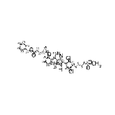 COC(=O)CCCCc1cc(Cl)c(CNC2(c3cnccc3-c3ccccc3OC3CC3CCC(=O)OCc3ccccc3)CC2)cc1Cl